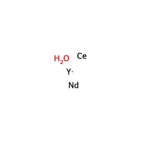 O.[Ce].[Nd].[Y]